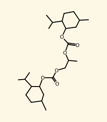 CC1CCC(C(C)C)C(OC(=O)OCC(C)OC(=O)OC2CC(C)CCC2C(C)C)C1